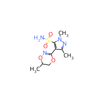 Cc1nn(C)c(S(N)(=O)=O)c1C1=NOC(C)CO1